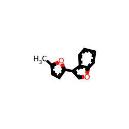 Cc1ccc(-c2coc3ccccc23)o1